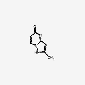 Cc1cc2nc(=O)ccn2[nH]1